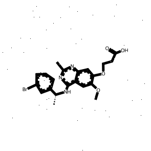 COc1cc2c(N[C@H](C)c3cccc(Br)c3)nc(C)nc2cc1OCCC(=O)O